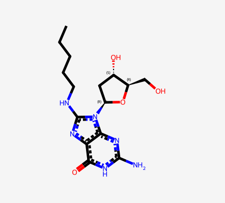 CCCCCNc1nc2c(=O)[nH]c(N)nc2n1[C@H]1C[C@H](O)[C@@H](CO)O1